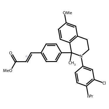 CCCc1ccc(N2CCc3cc(OC)ccc3C2(C)c2ccc(/C=C/C(=O)OC)cc2)cc1Cl